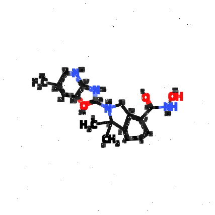 CC1(C)c2cccc(C(=O)NO)c2CN1c1nc2ncc(C(F)(F)F)cc2o1